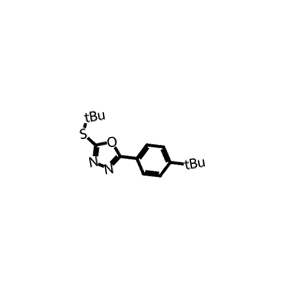 CC(C)(C)Sc1nnc(-c2ccc(C(C)(C)C)cc2)o1